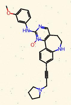 COc1cccc(Nc2ncc3c([n+]2[O-])-c2ccc(C#CCN4CCCC4)cc2NCC3)c1